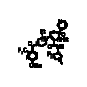 CCOC1(c2cccnc2)C=CC(N2CCN(C(=O)c3ccc(OC)nc3C(F)(F)F)C[C@H]2CC)=C(C(=O)N[C@@H]2CN(C)C[C@H]2F)N1